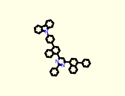 c1ccc(-c2nc(-c3ccc(-c4ccccc4)c4ccccc34)cc(-c3ccc(-c4ccc(-n5c6ccccc6c6ccccc65)cc4)c4ccccc34)n2)cc1